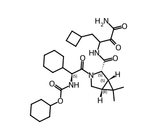 CC1(C)[C@H]2[C@@H](C(=O)NC(CC3CCC3)C(=O)C(N)=O)N(C(=O)[C@@H](NC(=O)OC3CCCCC3)C3CCCCC3)C[C@H]21